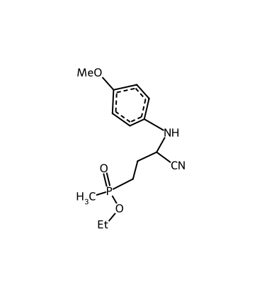 CCOP(C)(=O)CCC(C#N)Nc1ccc(OC)cc1